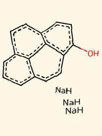 Oc1ccc2ccc3cccc4ccc1c2c34.[NaH].[NaH].[NaH]